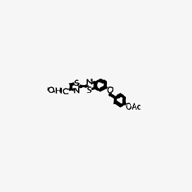 CC(=O)Oc1ccc(COc2ccc3nc(C4=NC(C=O)CS4)sc3c2)cc1